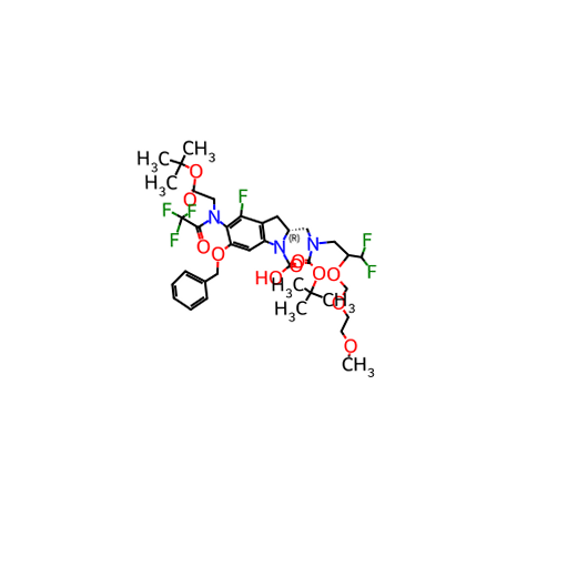 COCCOCOC(CN(C[C@H]1Cc2c(cc(OCc3ccccc3)c(N(CC(=O)OC(C)(C)C)C(=O)C(F)(F)F)c2F)N1C(=O)O)C(=O)OC(C)(C)C)C(F)F